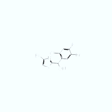 CCc1csc(C(O)c2cc(Br)c(F)cc2Cl)n1